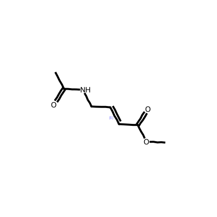 COC(=O)/C=C/CNC(C)=O